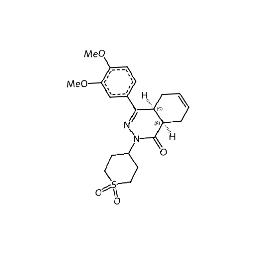 COc1ccc(C2=NN(C3CCS(=O)(=O)CC3)C(=O)[C@@H]3CC=CC[C@H]23)cc1OC